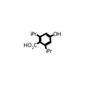 CC(C)c1cc(O)cc(C(C)C)c1C(=O)O